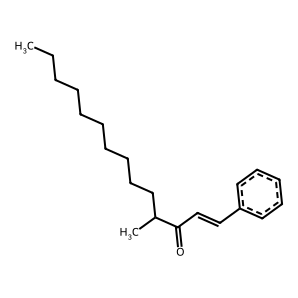 CCCCCCCCCCC(C)C(=O)C=Cc1ccccc1